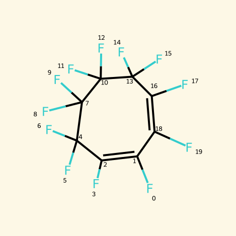 FC1=C(F)C(F)(F)C(F)(F)C(F)(F)C(F)(F)C(F)=C1F